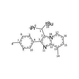 C[C](C)C(c1c(-c2ccc(C)cc2)nc2c(C)cccn12)C(C)(C)C